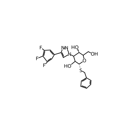 OCC1O[C@H](SCc2ccccc2)C(O)C(n2cc(-c3cc(F)c(F)c(F)c3)nn2)[C@H]1O